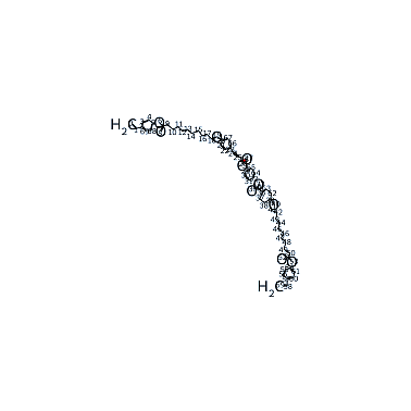 C=Cc1ccc(OC(=O)CCCCCCCCCCOc2ccc(C#CC(=O)Oc3ccc(OC(=O)C4CCC(OCCCCCCCCCCC(=O)Oc5ccc(C=C)cc5)CC4)cc3)cc2)cc1